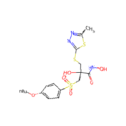 CCCCOc1ccc(S(=O)(=O)CC(O)(CSc2nnc(C)s2)C(=O)NO)cc1